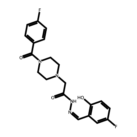 O=C(CN1CCN(C(=O)c2ccc(F)cc2)CC1)N/N=C\c1cc(F)ccc1O